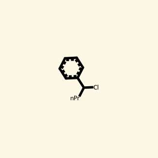 C[CH]CC(Cl)c1ccccc1